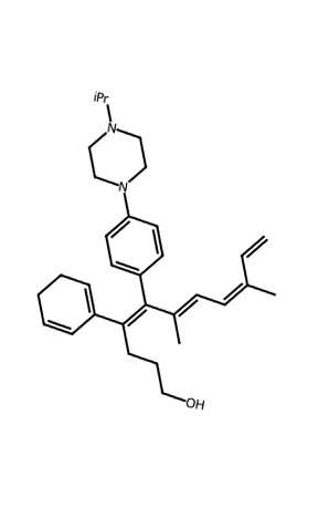 C=C\C(C)=C/C=C(C)/C(=C(\CCCO)C1=CCCC=C1)c1ccc(N2CCN(C(C)C)CC2)cc1